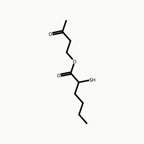 CCCCC(S)C(=O)OCCC(C)=O